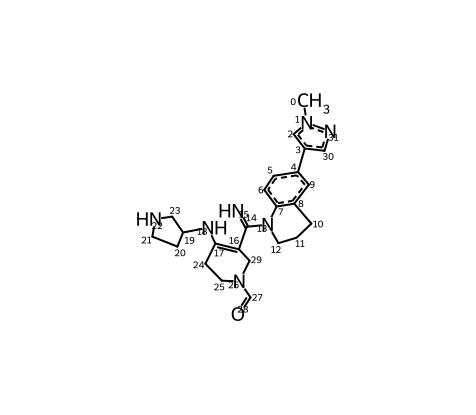 Cn1cc(-c2ccc3c(c2)CCCN3C(=N)C2=C(NC3CCNC3)CCN(C=O)C2)cn1